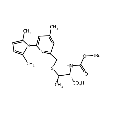 Cc1cc(CS[C@H](C)[C@H](NC(=O)OC(C)(C)C)C(=O)O)nc(-n2c(C)ccc2C)c1